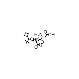 COC(=O)[C@H](COC(C1CCC1)C(C)(C)C)NC(=O)[C@@H](N)CC(=O)O